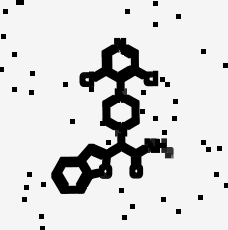 NC(=O)C(c1cc2ccccc2o1)N1CCN(c2c(Cl)cncc2Cl)CC1